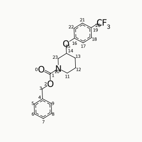 O=C(OCc1ccccc1)N1CCCC(Oc2ccc(C(F)(F)F)cc2)C1